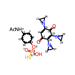 CC(=O)Nc1ccc(OP(=O)(O)S)cc1.O=C1C=C(N2CC2)C(=O)C(N2CC2)=C1N1CC1